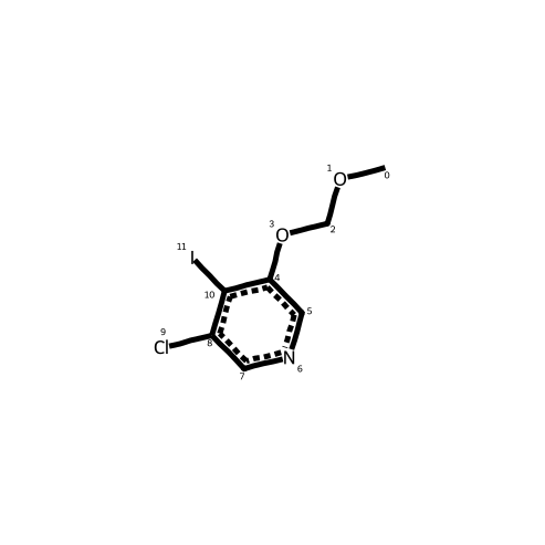 COCOc1cncc(Cl)c1I